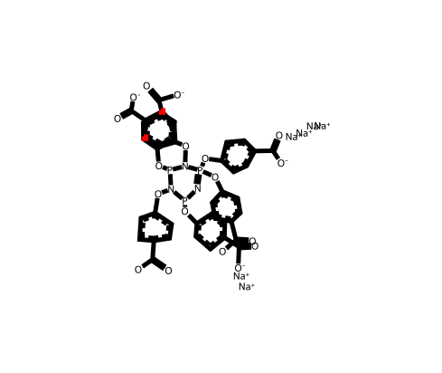 O=C([O-])c1ccc(ON2P(Oc3ccc(C(=O)[O-])cc3)N=P(Oc3ccc(C(=O)[O-])cc3)(Oc3ccc(C(=O)[O-])cc3)N(Oc3ccc(C(=O)[O-])cc3)P2Oc2ccc(C(=O)[O-])cc2)cc1.[Na+].[Na+].[Na+].[Na+].[Na+].[Na+]